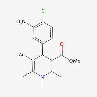 COC(=O)C1=C(C)N(C)C(C)=C(C(C)=O)C1c1ccc(Cl)c([N+](=O)[O-])c1